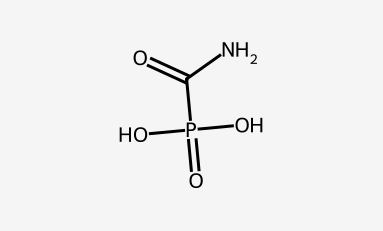 NC(=O)P(=O)(O)O